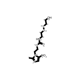 Cc1ncc([N+](=O)[O-])n1CCOC(=O)NCCSSCCO